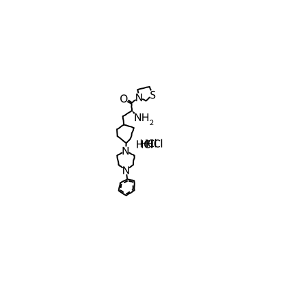 Cl.Cl.Cl.N[C@@H](CC1CCC(N2CCN(c3ccccc3)CC2)CC1)C(=O)N1CCSC1